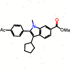 COC(=O)c1ccc2c(C3CCCC3)c(-c3ccc(C(C)=O)cc3)n(C)c2c1